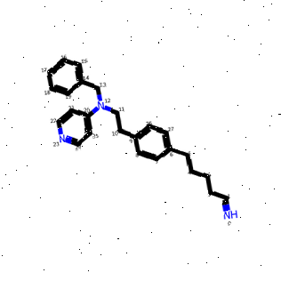 N=CCCCCc1ccc(CCN(Cc2ccccc2)c2ccncc2)cc1